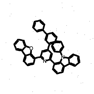 c1ccc(-c2cccc(-c3cc(-c4cccc5c4oc4ccccc45)nc(-c4cccc5c6ccccc6n(-c6ccccc6)c45)c3)c2)cc1